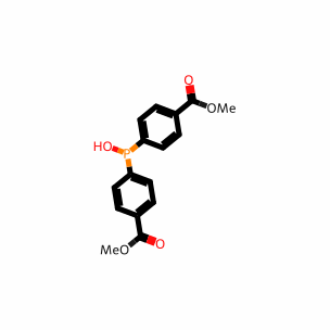 COC(=O)c1ccc(P(O)c2ccc(C(=O)OC)cc2)cc1